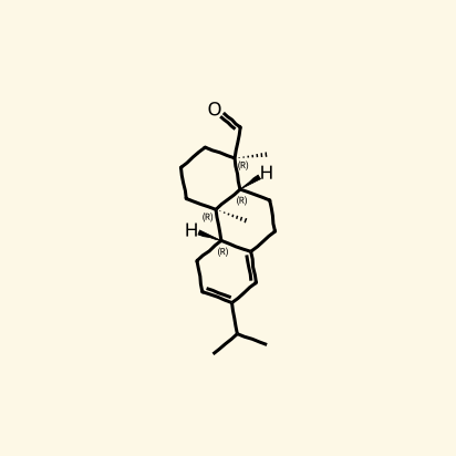 CC(C)C1=CC[C@H]2C(=C1)CC[C@@H]1[C@]2(C)CCC[C@@]1(C)C=O